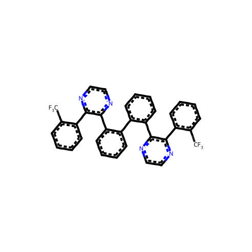 FC(F)(F)c1ccccc1-c1nccnc1-c1ccccc1-c1ccccc1-c1nccnc1-c1ccccc1C(F)(F)F